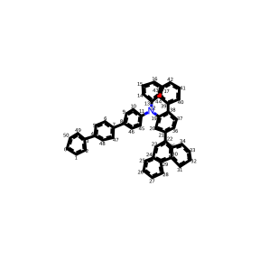 c1ccc(-c2ccc(-c3ccc(N(c4ccccc4)c4cc(-c5cc6ccccc6c6ccccc56)ccc4-c4ccccc4)cc3)cc2)cc1